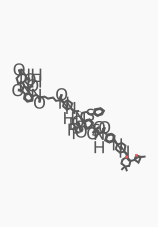 CC1(C)CCC(CN2CCN(c3ccc(C(=O)NS(=O)(=O)c4ccc(N[C@H](CCN5CCN(C(=O)CCCCC(=O)Nc6cccc7c6C(=O)N(C6CCC(=O)NC6=O)C7=O)CC5)CSc5ccccc5)c(S(=O)(=O)C(F)(F)F)c4)cc3)CC2)=C(C23CC(C)(C2)C3)C1